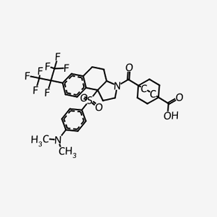 CN(C)c1ccc(S(=O)(=O)C23CCN(C(=O)C45CCC(C(=O)O)(CC4)CC5)C2CCc2cc(C(F)(C(F)(F)F)C(F)(F)F)ccc23)cc1